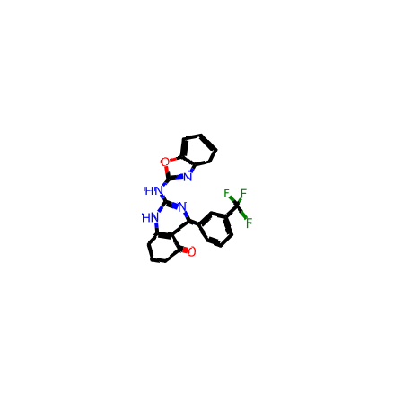 O=C1CCCC2=C1C(c1cccc(C(F)(F)F)c1)N=C(NC1=NC3CC=CC=C3O1)N2